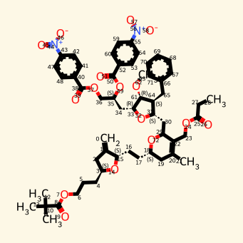 C=C1C[C@H](CCCOC(=O)C(C)(C)C)O[C@H]1CC[C@H]1CC(C)=C(COC(=O)CC)C(C[C@@H]2O[C@H](C[C@@H](COC(=O)c3ccc([N+](=O)[O-])cc3)OC(=O)c3ccc([N+](=O)[O-])cc3)[C@H](OC)[C@H]2Cc2ccccc2)O1